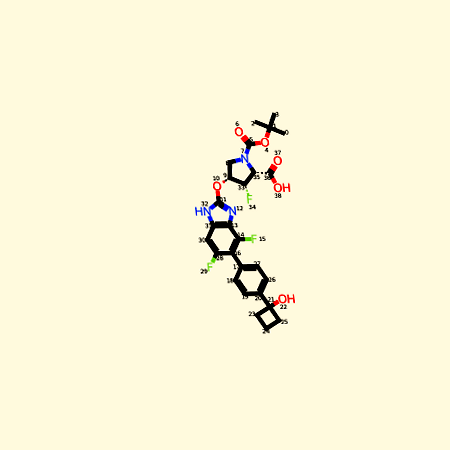 CC(C)(C)OC(=O)N1C[C@@H](Oc2nc3c(F)c(-c4ccc(C5(O)CCC5)cc4)c(F)cc3[nH]2)[C@@H](F)[C@H]1C(=O)O